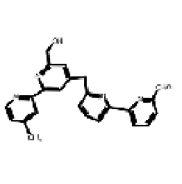 Cc1ccnc(-c2cc(Cc3cccc(-c4cccc(C=O)n4)n3)cc(CO)n2)c1